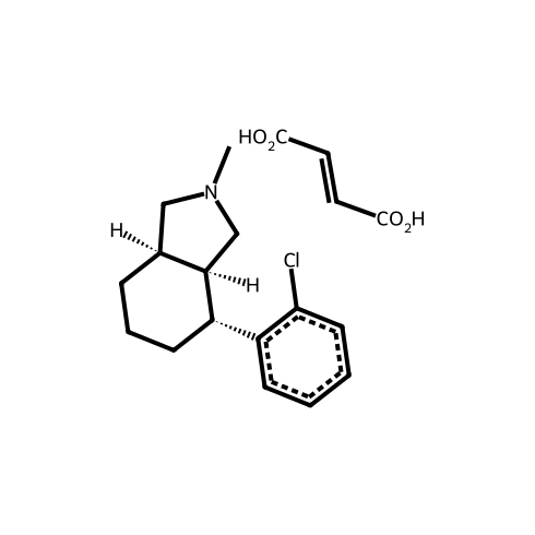 CN1C[C@@H]2CCC[C@@H](c3ccccc3Cl)[C@@H]2C1.O=C(O)/C=C/C(=O)O